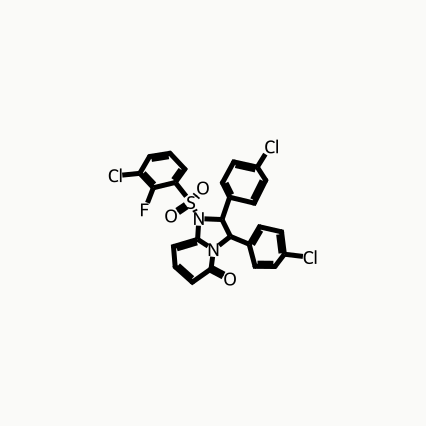 O=c1cccc2n1C(c1ccc(Cl)cc1)C(c1ccc(Cl)cc1)N2S(=O)(=O)c1cccc(Cl)c1F